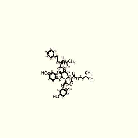 CC(C)CCOC(=O)N1O[C@H](Cc2ccc(O)cc2)C(=O)N2C1CN([C@@H](CC(C)C)C(=O)NCCc1ccccc1)C(=O)[C@@H]2Cc1ccc(O)cc1